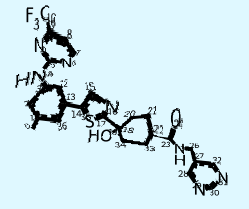 Cc1cc(Nc2nccc(C(F)(F)F)n2)cc(-c2cnc([C@]3(O)CC[C@@H](C(=O)NCc4cncnc4)CC3)s2)c1